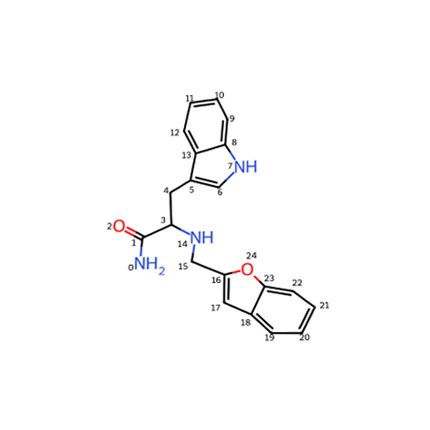 NC(=O)C(Cc1c[nH]c2ccccc12)NCc1cc2ccccc2o1